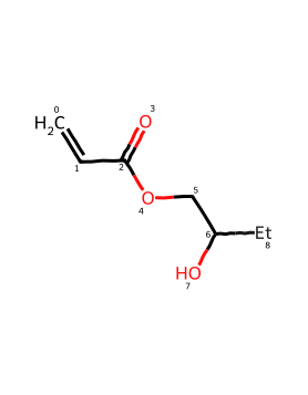 C=CC(=O)OCC(O)CC